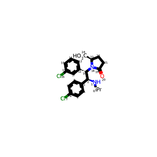 CC(C)N[C@@H](c1ccc(Cl)cc1)[C@H](c1cccc(Cl)c1)N1C(=O)CC[C@@H]1C(=O)O